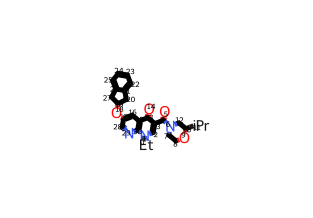 CCn1cc(C(=O)N2CCOC(C(C)C)C2)c(=O)c2cc(OC3Cc4ccccc4C3)cnc21